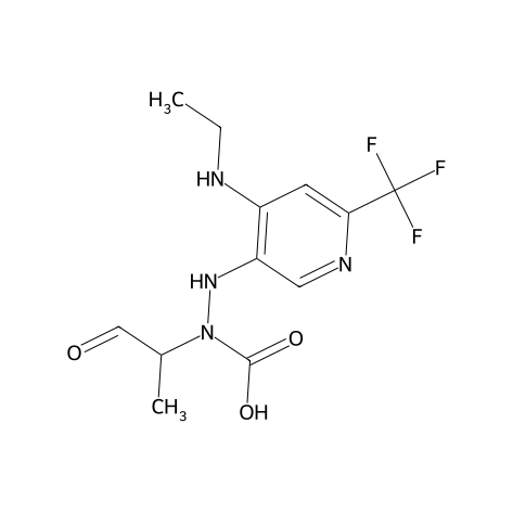 CCNc1cc(C(F)(F)F)ncc1NN(C(=O)O)C(C)C=O